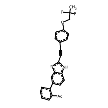 CC(=O)c1ccccc1-c1ccc2[nH]c(C#Cc3ccc(OCC(C)(F)F)cc3)nc2c1